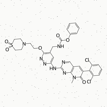 Cn1c(=O)c(-c2c(Cl)cccc2Cl)cc2cnc(Nc3cc(CNC(=O)Oc4ccccc4)c(OCCN4CCS(=O)(=O)CC4)nn3)nc21